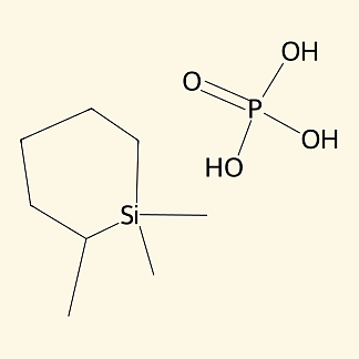 CC1CCCC[Si]1(C)C.O=P(O)(O)O